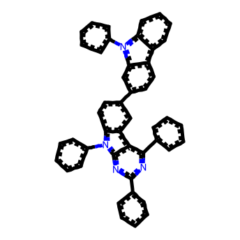 c1ccc(-c2nc(-c3ccccc3)c3c4cc(-c5ccc6c7ccccc7n(-c7ccccc7)c6c5)ccc4n(-c4ccccc4)c3n2)cc1